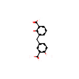 O=C(O)c1cc(Cc2cccc(C(=O)O)c2O)ccc1O